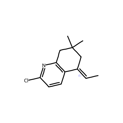 C/C=C1\CC(C)(C)Cc2nc(Cl)ccc21